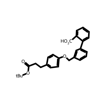 CC(C)(C)OC(=O)CCc1ccc(OCc2cccc(-c3ccccc3C(=O)O)c2)cc1